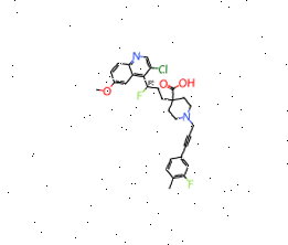 COc1ccc2ncc(Cl)c([C@H](F)CCC3(C(=O)O)CCN(CC#Cc4ccc(C)c(F)c4)CC3)c2c1